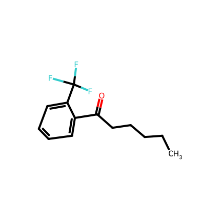 CCCCCC(=O)c1ccccc1C(F)(F)F